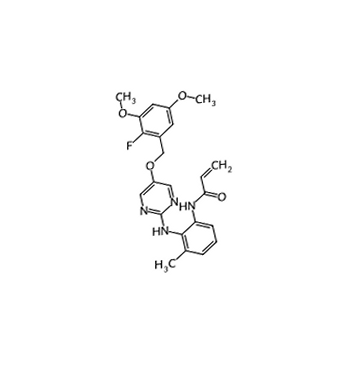 C=CC(=O)Nc1cccc(C)c1Nc1ncc(OCc2cc(OC)cc(OC)c2F)cn1